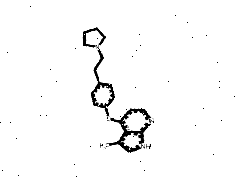 Cc1c[nH]c2nccc(Oc3ccc(CCN4CCCC4)cc3)c12